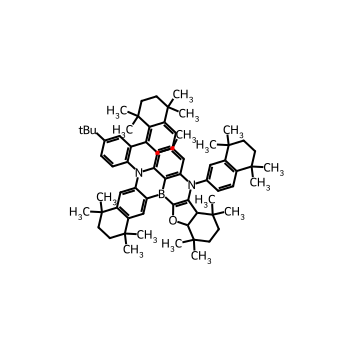 Cc1cc2c3c(c1)N(c1ccc(C(C)(C)C)cc1-c1cccc4c1C(C)(C)CCC4(C)C)c1cc4c(cc1B3C1=C(C3C(O1)C(C)(C)CCC3(C)C)N2c1ccc2c(c1)C(C)(C)CCC2(C)C)C(C)(C)CCC4(C)C